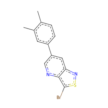 Cc1ccc(-c2cnc3c(Br)snc3c2)cc1C